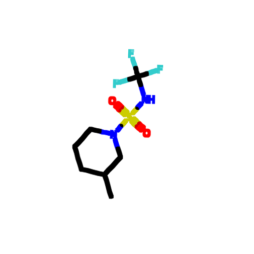 CC1CCCN(S(=O)(=O)NC(F)(F)F)C1